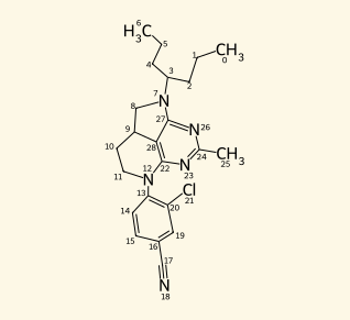 CCCC(CCC)N1CC2CCN(c3ccc(C#N)cc3Cl)c3nc(C)nc1c32